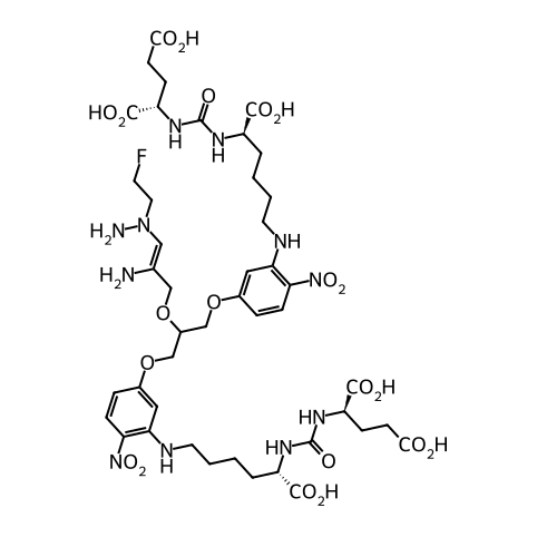 N/C(=C\N(N)CCF)COC(COc1ccc([N+](=O)[O-])c(NCCCC[C@H](NC(=O)N[C@H](CCC(=O)O)C(=O)O)C(=O)O)c1)COc1ccc([N+](=O)[O-])c(NCCCC[C@@H](NC(=O)N[C@@H](CCC(=O)O)C(=O)O)C(=O)O)c1